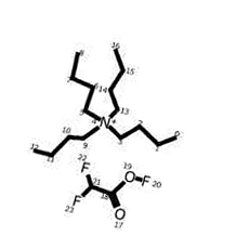 CCCC[N+](CCCC)(CCCC)CCCC.O=C(OF)C(F)F